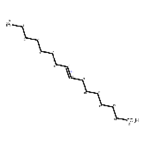 CC(C)CCCCCC/C=C/CCCCCCC(=O)O